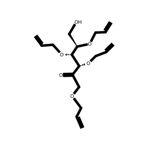 C=CCOCC(=O)[C@@H](OCC=C)[C@H](OCC=C)[C@@H](CO)OCC=C